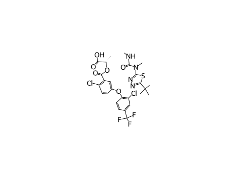 CNC(=O)N(C)c1nnc(C(C)(C)C)s1.C[C@H](OC(=O)c1cc(Oc2ccc(C(F)(F)F)cc2Cl)ccc1Cl)C(=O)O